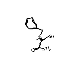 NC(=O)C(S)SCc1ccccc1